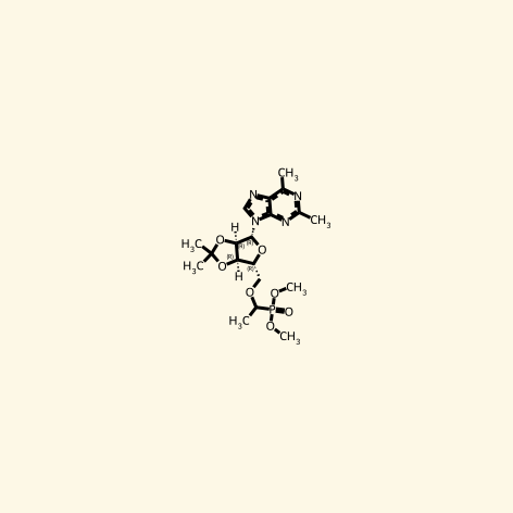 COP(=O)(OC)C(C)OC[C@H]1O[C@@H](n2cnc3c(C)nc(C)nc32)[C@@H]2OC(C)(C)O[C@@H]21